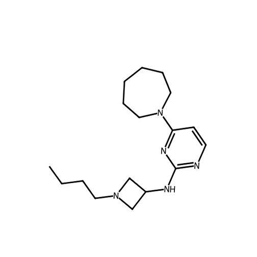 CCCCN1CC(Nc2nccc(N3CCCCCC3)n2)C1